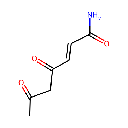 CC(=O)CC(=O)C=CC(N)=O